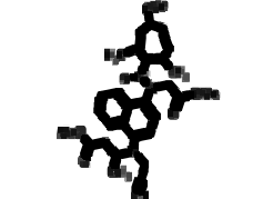 C#CCN(c1ccc(N(CC(=O)OC)[S+]([O-])C2=C(C)C=CC(OC)C=C2C)c2ccccc12)C(C)CC(=O)OC